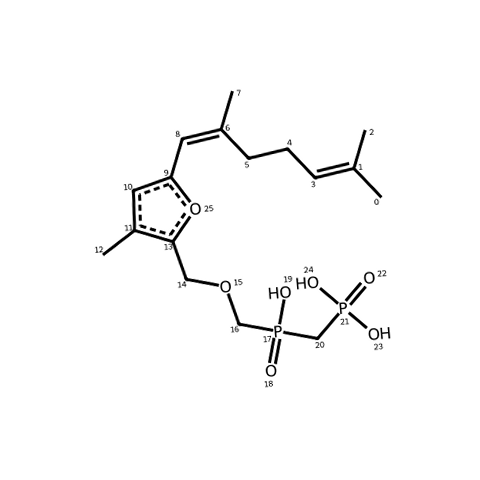 CC(C)=CCCC(C)=Cc1cc(C)c(COCP(=O)(O)CP(=O)(O)O)o1